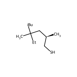 CCC(C)C(C)(CC)C[C@@H](C)CS